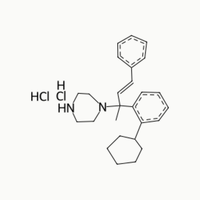 CC(C=Cc1ccccc1)(c1ccccc1C1CCCCC1)N1CCNCC1.Cl.Cl